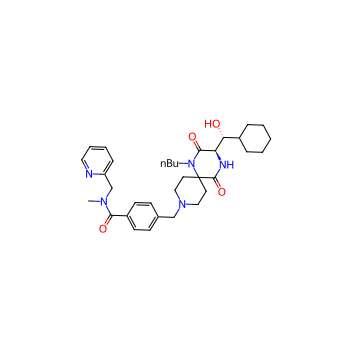 CCCCN1C(=O)[C@@H]([C@H](O)C2CCCCC2)NC(=O)C12CCN(Cc1ccc(C(=O)N(C)Cc3ccccn3)cc1)CC2